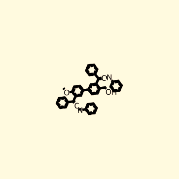 COc1ccc(-c2ccc(CO)c(C(=C=Nc3ccccc3)c3ccccc3)c2)cc1C(=C=Nc1ccccc1)c1ccccc1